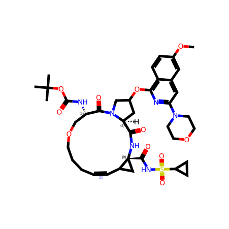 COc1ccc2c(OC3C[C@H]4C(=O)N[C@]5(C(=O)NS(=O)(=O)C6CC6)CC5/C=C\CCCOC[C@H](NC(=O)OC(C)(C)C)C(=O)N4C3)nc(N3CCOCC3)cc2c1